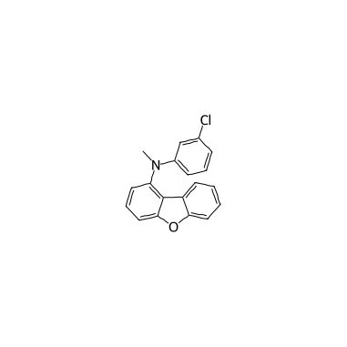 CN(c1cccc(Cl)c1)c1cccc2oc3ccccc3c12